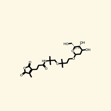 CC1=C(CCC(=O)NC(C)(C)COC(C)(C)CCOC2CC(O)[C@@H](O)[C@@H](CO)O2)C(=O)OC1=O